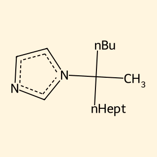 CCCCCCCC(C)(CCCC)n1ccnc1